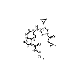 C=CC(=O)N1C[C@H](C2CC2)[C@H](Nc2cnc3[nH]cc(C(=O)NCC)c3n2)C1